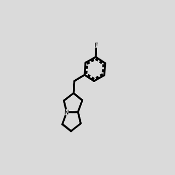 Fc1cccc(CC2CC3CCCN3C2)c1